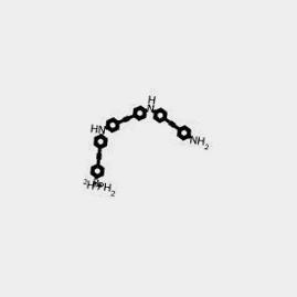 [2H]B(P)c1ccc(C#Cc2ccc(Nc3ccc(C#Cc4ccc(Nc5ccc(C#Cc6ccc(N)cc6)cc5)cc4)cc3)cc2)cc1